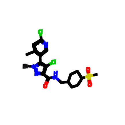 CCn1nc(C(=O)NCC2CCC(S(C)(=O)=O)CC2)c(Cl)c1-c1cnc(Cl)cc1C